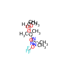 Cc1cc(-c2nc3c(CC(C)C)nc(OCCC(F)(F)F)nc3o2)cc(C)c1OCC(=O)OC(C)(C)C